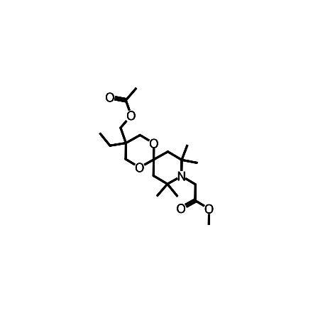 CCC1(COC(C)=O)COC2(CC(C)(C)N(CC(=O)OC)C(C)(C)C2)OC1